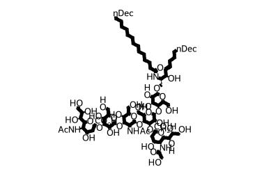 CCCCCCCCCCCCC/C=C/[C@@H](O)[C@H](CO[C@@H]1OC(CO)[C@@H](O[C@@H]2OC(CO)[C@H](O[C@@H]3OC(CO)[C@H](O)[C@H](O[C@@H]4OC(CO)[C@H](O)[C@H](O[C@]5(C(=O)O)CC(O)[C@@H](NC(C)=O)C([C@H](O)[C@H](O)CO)O5)C4O)C3NC(C)=O)[C@H](O[C@]3(C(=O)O)CC(O)[C@@H](NC(=O)CO)C([C@H](O)[C@H](O)CO)O3)C2O)[C@H](O)C1O)NC(=O)CCCCCCCCCCCCCCCCCCCCCCC